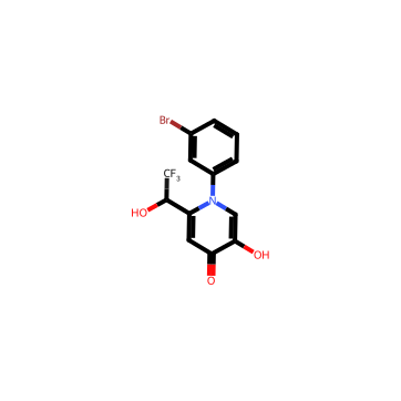 O=c1cc(C(O)C(F)(F)F)n(-c2cccc(Br)c2)cc1O